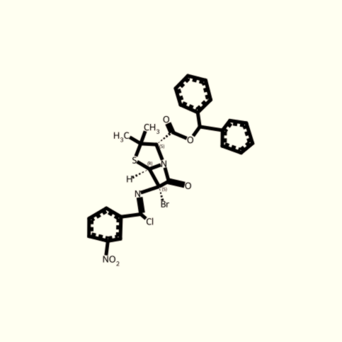 CC1(C)S[C@H]2N(C(=O)[C@@]2(Br)N=C(Cl)c2cccc([N+](=O)[O-])c2)[C@H]1C(=O)OC(c1ccccc1)c1ccccc1